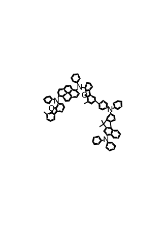 Cc1cccc2c1oc1c(N(c3ccccc3)c3ccc4ccc5c(N(c6ccccc6)c6cccc7c6oc6c(C)cc(-c8ccc(N(c9ccccc9)c9ccc%10c(c9)C(C)(C)c9cc(N(c%11ccccc%11)c%11ccccc%11)c%11ccccc%11c9-%10)cc8)cc67)ccc6ccc3c4c65)cccc12